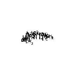 COc1cc(-c2csc3c(C(=O)NCC4CCN(C(=O)OC(C)(C)C)CC4)cnc(N)c23)ccc1NC(=O)c1cc2ccccc2n1C